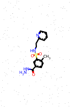 Cc1ccc(C(=O)NN)cc1S(=O)(=O)NCCc1ccccn1